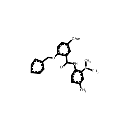 CCC(Pc1ccc(C)cc1N(C)C)c1cc(OC)ccc1OCc1ccccc1